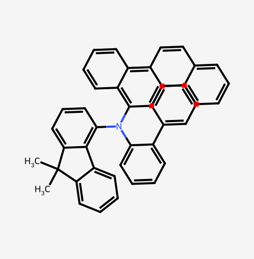 CC1(C)c2ccccc2-c2c(N(c3ccccc3-c3ccccc3)c3cc4c5ccccc5ccc4c4ccccc34)cccc21